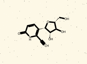 C#Cc1[nH]c(=O)ccc1[C@@H]1O[C@H](CO)C(O)[C@@H]1O